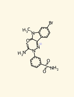 CN1C(=O)/C(=N\N(C(N)=S)c2cccc(S(N)(=O)=O)c2)c2ccc(Br)cc21